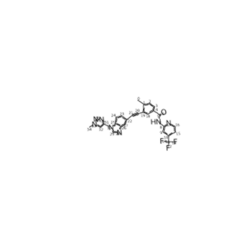 Cc1ccc(C(=O)Nc2cc(C(F)(F)F)ccn2)cc1C#Cc1ccc2c(c1)ncn2-c1cn(C)nn1